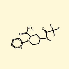 CN(C(=O)C(F)(F)F)C1CCN(c2cc[c]cn2)C(C(N)=O)C1